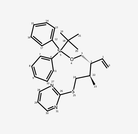 C=C[C@@H](CO[Si](c1ccccc1)(c1ccccc1)C(C)(C)C)[C@@H](C)CSc1ncccn1